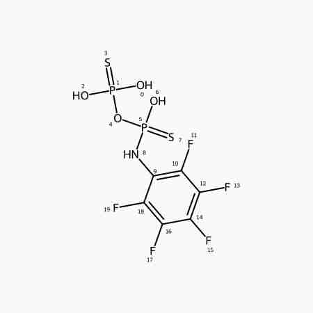 OP(O)(=S)OP(O)(=S)Nc1c(F)c(F)c(F)c(F)c1F